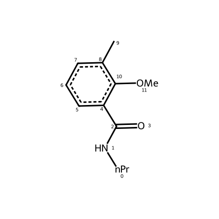 CCCNC(=O)c1cccc(C)c1OC